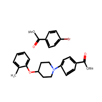 COC(=O)c1ccc(Br)cc1.COC(=O)c1ccc(N2CCC(Oc3ccccc3C)CC2)cc1